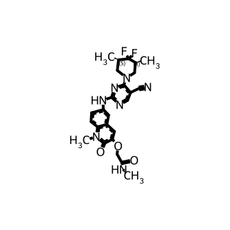 CNC(=O)COc1cc2cc(Nc3ncc(C#N)c(N4C[C@@H](C)C(F)(F)[C@@H](C)C4)n3)ccc2n(C)c1=O